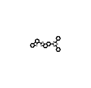 c1ccc(-c2nc(-c3ccccc3)nc(-c3ccc4c(ccc5sc(-c6cccc7c6sc6ccccc67)nc54)c3)n2)cc1